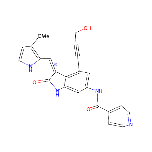 COc1cc[nH]c1/C=C1\C(=O)Nc2cc(NC(=O)c3ccncc3)cc(C#CCO)c21